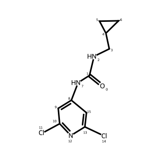 O=C(NCC1CC1)Nc1cc(Cl)nc(Cl)c1